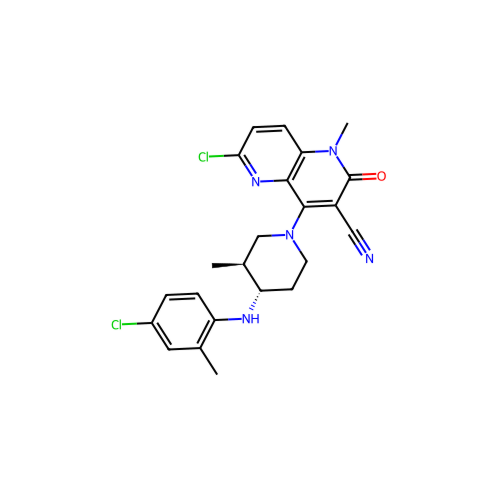 Cc1cc(Cl)ccc1N[C@H]1CCN(c2c(C#N)c(=O)n(C)c3ccc(Cl)nc23)C[C@@H]1C